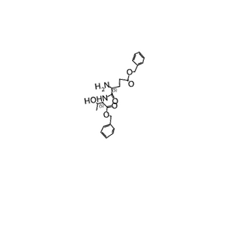 CC(O)[C@H](NC(=O)[C@@H](N)CCC(=O)OCc1ccccc1)C(=O)OCc1ccccc1